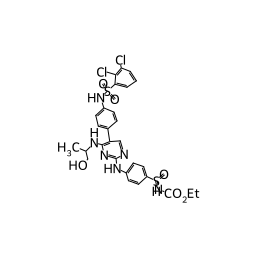 CCOC(=O)N=[SH](=O)c1ccc(Nc2ncc(-c3ccc(NS(=O)(=O)c4cccc(Cl)c4Cl)cc3)c(NC(C)CO)n2)cc1